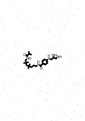 CC(C)C(=O)NCC(C)(C)CC(C)(C)CCCNC(=O)c1ccc(NCC(=N)C=N)cc1